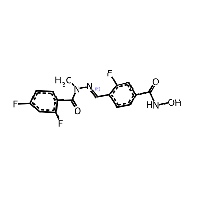 CN(/N=C/c1ccc(C(=O)NO)cc1F)C(=O)c1ccc(F)cc1F